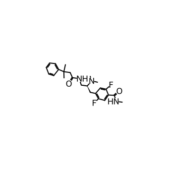 CNC(=O)c1cc(F)c(C[C@@H](CNC(=O)CC(C)(C)c2ccccc2)N(C)C)cc1F